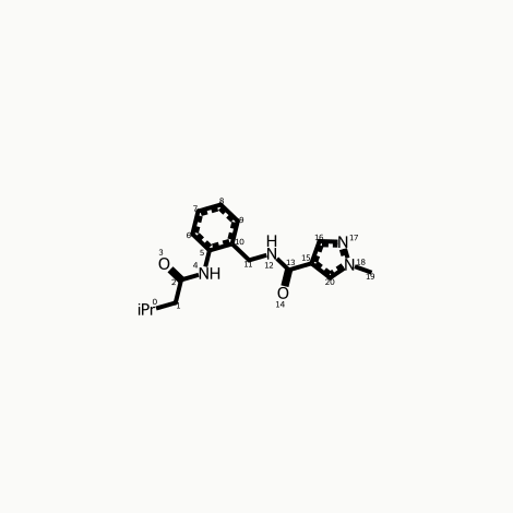 CC(C)CC(=O)Nc1ccccc1CNC(=O)c1cnn(C)c1